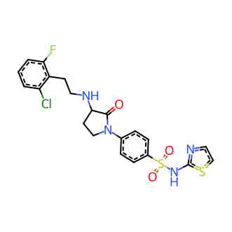 O=C1C(NCCc2c(F)cccc2Cl)CCN1c1ccc(S(=O)(=O)Nc2nccs2)cc1